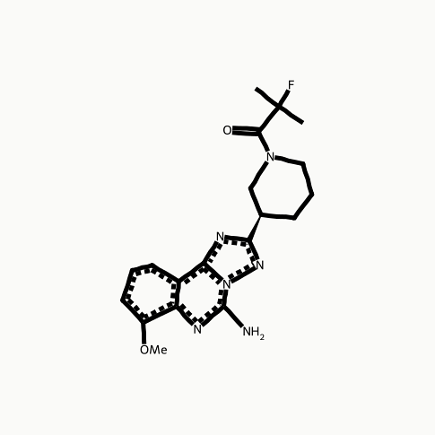 COc1cccc2c1nc(N)n1nc([C@@H]3CCCN(C(=O)C(C)(C)F)C3)nc21